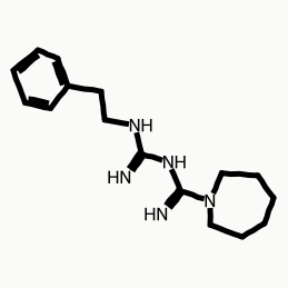 N=C(NCCc1ccccc1)NC(=N)N1CCCCCC1